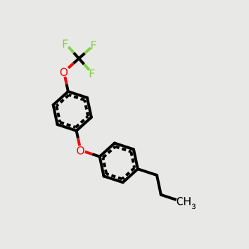 CCCc1ccc(Oc2ccc(OC(F)(F)F)cc2)cc1